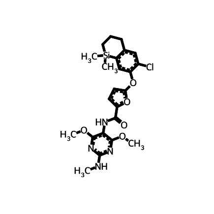 CNc1nc(OC)c(NC(=O)c2ccc(Oc3cc4c(cc3Cl)CCC[Si]4(C)C)o2)c(OC)n1